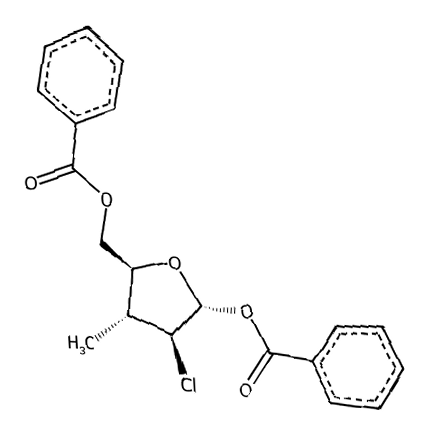 C[C@H]1[C@H](Cl)[C@@H](OC(=O)c2ccccc2)O[C@@H]1COC(=O)c1ccccc1